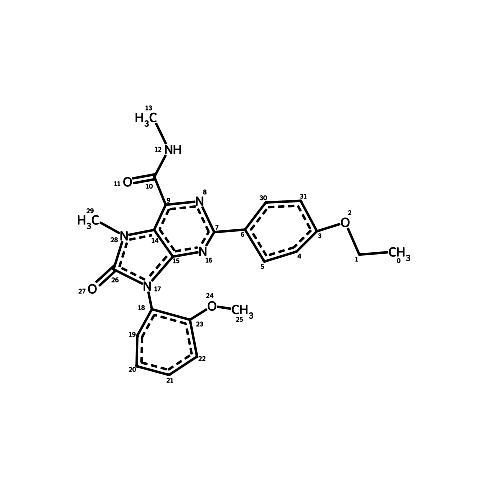 CCOc1ccc(-c2nc(C(=O)NC)c3c(n2)n(-c2ccccc2OC)c(=O)n3C)cc1